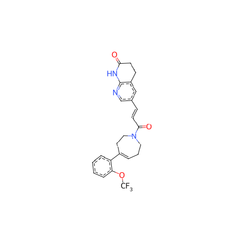 O=C1CCc2cc(/C=C/C(=O)N3CCC=C(c4ccccc4OC(F)(F)F)CC3)cnc2N1